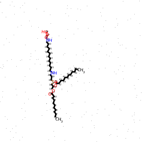 CCCCCCCCCCCC(=O)OCC(CSCCCNCCCCCCCCCCCCCNOOO)OC(=O)CCCCCCCCCCC